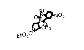 CCOC(=O)N1CCC(n2c(=O)c3cc([N+](=O)[O-])ccc3n(CC)c2=O)C(C)C1